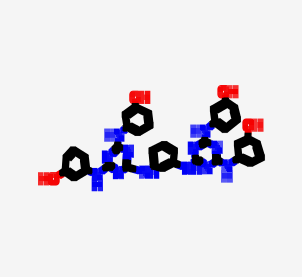 Oc1cccc(Nc2nc(Nc3cccc(O)c3)nc(Nc3cccc(Nc4nc(Nc5cccc(O)c5)nc(Nc5cccc(O)c5)n4)c3)n2)c1